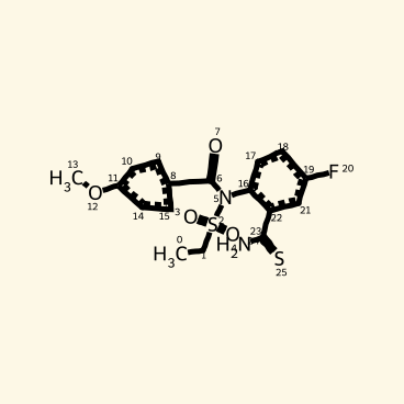 CCS(=O)(=O)N(C(=O)c1ccc(OC)cc1)c1c[c]c(F)cc1C(N)=S